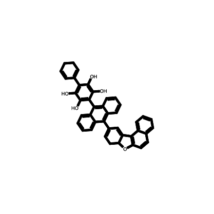 Oc1c(O)c(-c2c3ccccc3c(C3=CCC4Oc5ccc6ccccc6c5C4=C3)c3ccccc23)c(O)c(O)c1C1=CCCC=C1